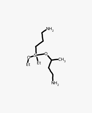 CCO[Si](CC)(CCCN)OC(C)CCN